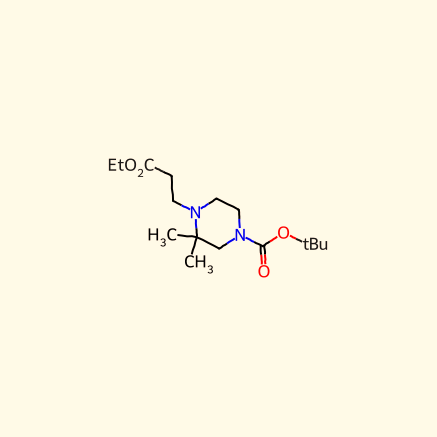 CCOC(=O)CCN1CCN(C(=O)OC(C)(C)C)CC1(C)C